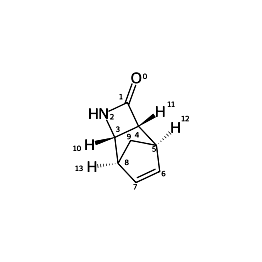 O=C1N[C@@H]2[C@H]1[C@H]1C=C[C@@H]2C1